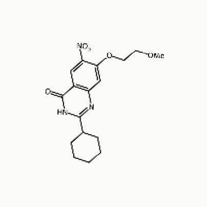 COCCOc1cc2nc(C3CCCCC3)[nH]c(=O)c2cc1[N+](=O)[O-]